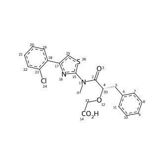 CN(C(=O)[C@H](Cc1ccccc1)OCC(=O)O)c1nc(-c2ccccc2Cl)cs1